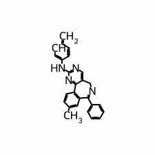 C=C/C=C\C(=C/C)Nc1ncc2c(n1)-c1ccc(C)cc1C(c1ccccc1)=NC2